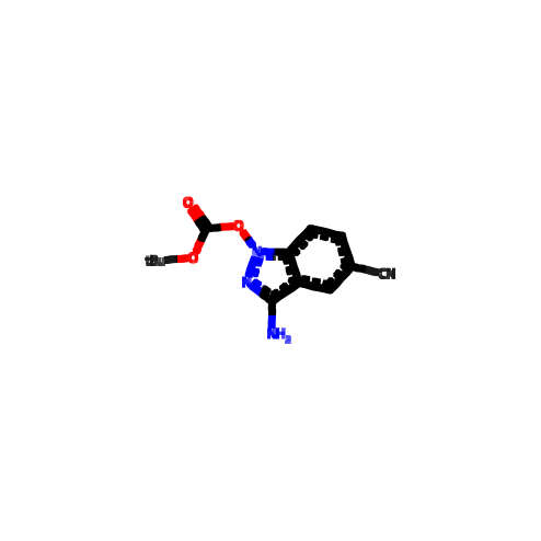 CC(C)(C)OC(=O)On1nc(N)c2cc(C#N)ccc21